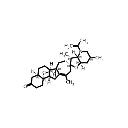 C=C(C)N1C[C@@H](C)C[C@H]2O[C@]3(CC[C@@H]4C(=C(C)C3)C[C@H]3[C@H]4CC[C@@H]4CC(=O)CC[C@@]43C)[C@H](C)[C@@H]21